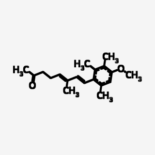 COc1cc(C)c(/C=C/C(C)=C/CCC(C)=O)c(C)c1C